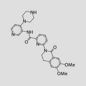 COc1cc2c(cc1OC)C(=O)N(c1cccc(C(=O)Nc3cnccc3N3CCNCC3)n1)CC2